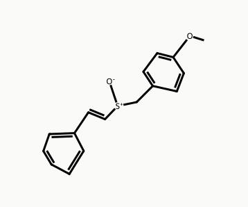 COc1ccc(C[S+]([O-])C=Cc2ccccc2)cc1